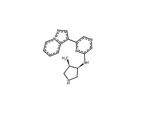 C[C@@H]1CNC[C@@H]1Nc1cncc(-c2cnn3ccccc23)n1